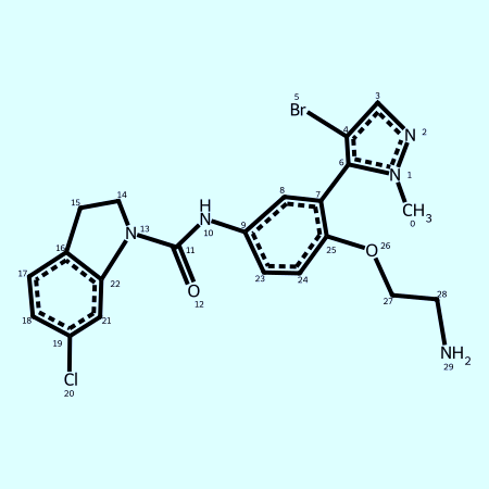 Cn1ncc(Br)c1-c1cc(NC(=O)N2CCc3ccc(Cl)cc32)ccc1OCCN